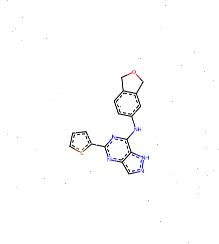 c1csc(-c2nc(Nc3ccc4c(c3)COC4)c3[nH]ncc3n2)c1